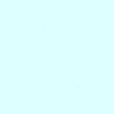 C=C(C)C(=O)OC1OOC1(C)OC(=O)OC(C)(C)CC(C)(C)C